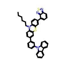 CCCCCCN1c2ccc(-c3cccc(-n4c5ccccc5c5ccccc54)c3)cc2Sc2cc(-c3cccc4nsnc34)ccc21